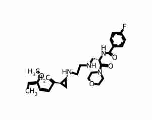 C=C(/C=C\C(=C/C)OC)[C@@H]1C[C@H]1NCCNC[C@H](NC(=O)c1ccc(F)cc1)C(=O)N1CCOCC1